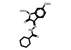 CCCCCCN1C(=O)/C(=N\NC(=O)C2CCCCC2)c2ccc(OC)cc21